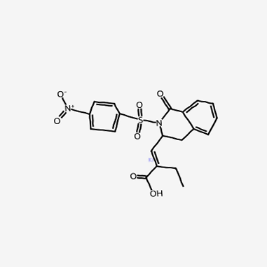 CC/C(=C\C1Cc2ccccc2C(=O)N1S(=O)(=O)c1ccc([N+](=O)[O-])cc1)C(=O)O